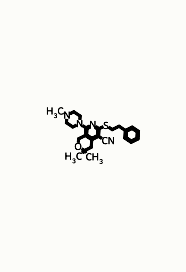 CN1CCN(c2nc(SCCc3ccccc3)c(C#N)c3c2COC(C)(C)C3)CC1